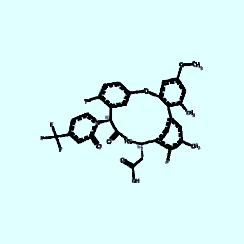 COc1cc(C)c2c(c1)Oc1ccc(F)c(c1)[C@H](n1ccc(C(F)(F)F)cc1=O)C(=O)N[C@@H](CC(=O)O)c1cc-2cc(C)c1F